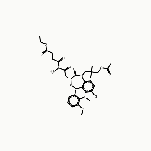 CCOC(=O)CCC(=O)N(N)C(=O)C[C@H]1O[C@H](c2cccc(OC)c2OC)c2cc(Cl)ccc2N(CC(C)(C)COC(C)=O)C1=O